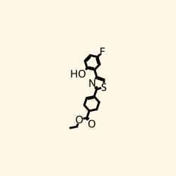 CCOC(=O)C1CC=C(c2nc(-c3cc(F)ccc3O)cs2)CC1